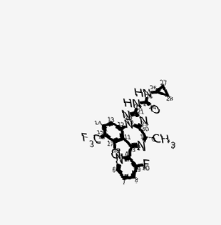 C[C@@H]1N=C(c2ncccc2F)c2c(ccc(C(F)(F)F)c2Cl)-n2nc(NC(=O)NC3CC3)nc21